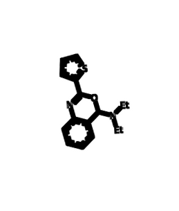 CCN(CC)C1OC(c2cccs2)=Nc2ccccc21